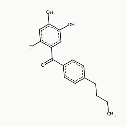 CCCCc1ccc(C(=O)c2cc(O)c(O)cc2F)cc1